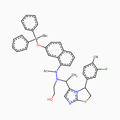 CC(=O)N(c1cccc2ccc(O[Si](c3ccccc3)(c3ccccc3)C(C)(C)C)cc12)N(CCO)C(C)c1cnc2n1C(c1ccc(C#N)c(F)c1)CS2